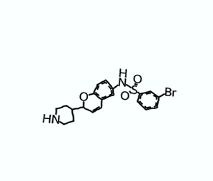 O=S(=O)(Nc1ccc2c(c1)C=CC(C1CCNCC1)O2)c1cccc(Br)c1